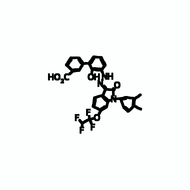 Cc1ccc(N2C(=O)C(=NNc3cccc(-c4cccc(C(=O)O)c4)c3O)c3ccc(OC(F)(F)C(F)F)cc32)cc1C